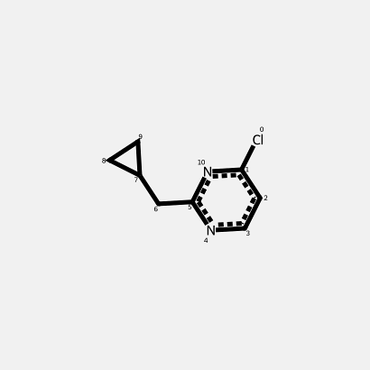 Clc1ccnc(CC2CC2)n1